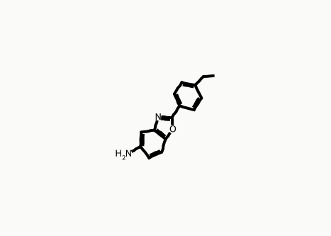 CCc1ccc(-c2nc3cc(N)ccc3o2)cc1